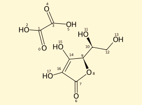 O=C(O)C(=O)O.O=C1O[C@H]([C@@H](O)CO)C(O)=C1O